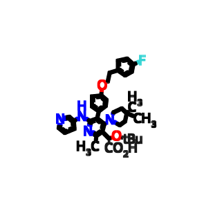 Cc1nc(Nc2cccnc2)c(-c2ccc(OCCc3ccc(F)cc3)cc2)c(N2CCC(C)(C)CC2)c1[C@H](OC(C)(C)C)C(=O)O